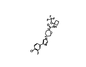 O=C(NC1(OC(F)(F)F)CCC1)[C@@H]1CC[C@@H](n2cnc(-c3ccc(Cl)c(F)c3)c2)CO1